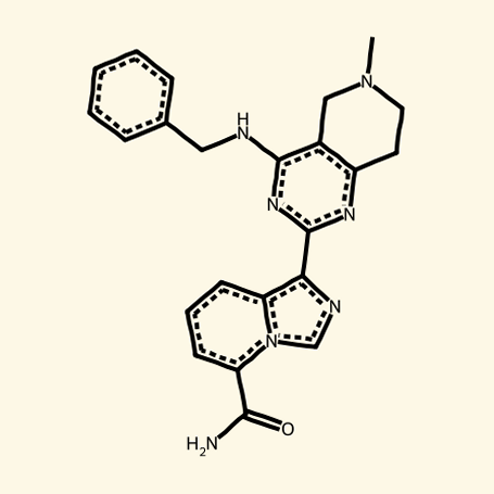 CN1CCc2nc(-c3ncn4c(C(N)=O)cccc34)nc(NCc3ccccc3)c2C1